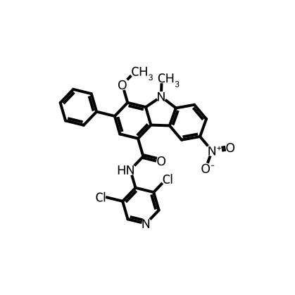 COc1c(-c2ccccc2)cc(C(=O)Nc2c(Cl)cncc2Cl)c2c3cc([N+](=O)[O-])ccc3n(C)c12